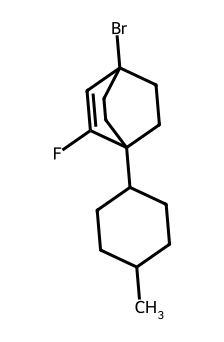 CC1CCC(C23CCC(Br)(C=C2F)CC3)CC1